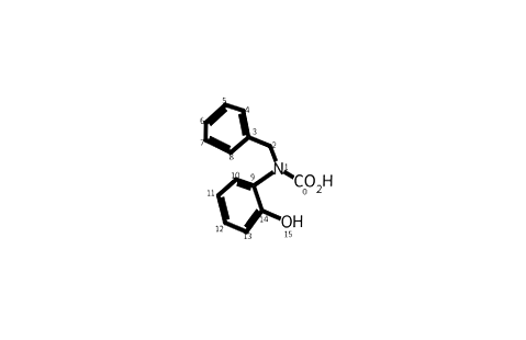 O=C(O)N(Cc1ccccc1)c1ccccc1O